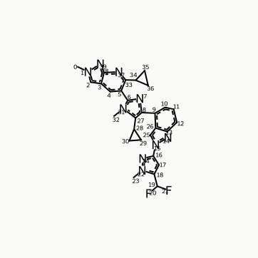 Cn1cc2cc(-c3nc(-c4cccc5nn(-c6cc(C(F)F)n(C)n6)cc45)c(C4CC4)n3C)c(C3CC3)nc2n1